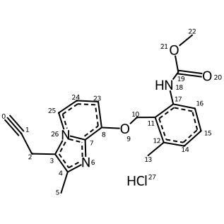 C#CCc1c(C)nc2c(OCc3c(C)cccc3NC(=O)OC)cccn12.Cl